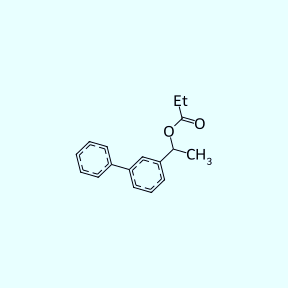 CCC(=O)OC(C)c1cccc(-c2ccccc2)c1